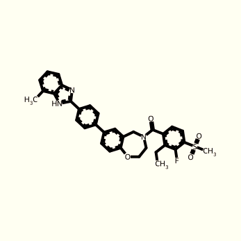 CCc1c(C(=O)N2CCOc3ccc(-c4ccc(-c5nc6cccc(C)c6[nH]5)cc4)cc3C2)ccc(S(C)(=O)=O)c1F